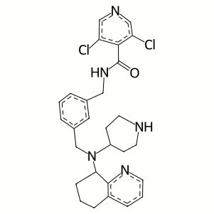 O=C(NCc1cccc(CN(C2CCNCC2)C2CCCc3cccnc32)c1)c1c(Cl)cncc1Cl